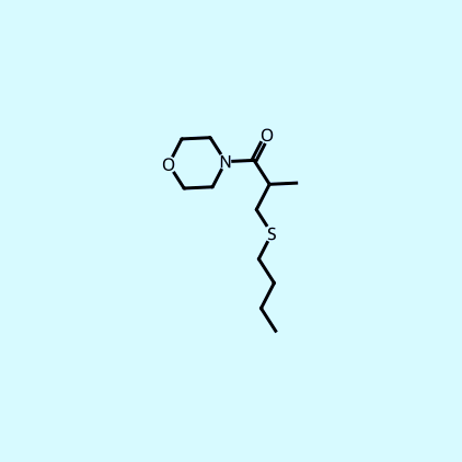 CCCCSCC(C)C(=O)N1CCOCC1